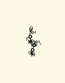 CC(C)S(=O)(=O)c1ccc(-c2cnc(N)c(-c3nnc(-c4ccc(CN[C@H]5CCOC5)cc4F)o3)n2)cc1